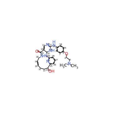 CN(C)CCOc1ccc(NC2=NC=C3C(=O)N4C/C=C\CCC(O)c5cccc(n5)N4C3N2)cc1